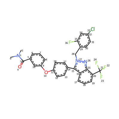 CN(C)C(=O)c1cccc(Oc2ccc(-c3c4cccc(C(F)(F)F)c4nn3Cc3ccc(Cl)cc3F)cc2)c1